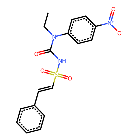 CCN(C(=O)NS(=O)(=O)C=Cc1ccccc1)c1ccc([N+](=O)[O-])cc1